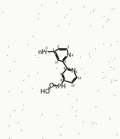 CCCc1ccnc(-c2cc(POO)ccn2)c1